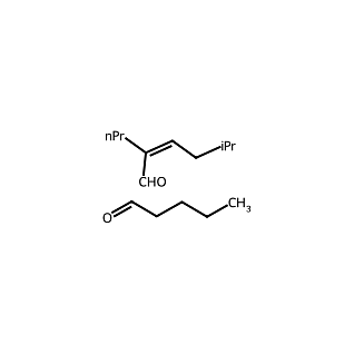 CCCC(C=O)=CCC(C)C.CCCCC=O